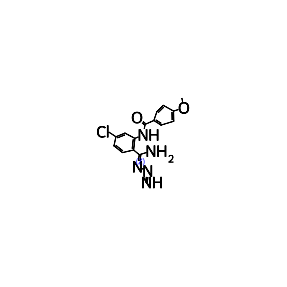 COc1ccc(C(=O)Nc2cc(Cl)ccc2/C(N)=N/N=N)cc1